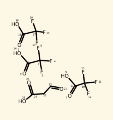 O=C(O)C(F)(F)F.O=C(O)C(F)(F)F.O=C(O)C(F)(F)F.O=CCC(=O)O